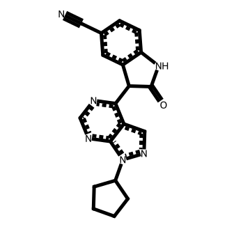 N#Cc1ccc2c(c1)C(c1ncnc3c1cnn3C1CCCC1)C(=O)N2